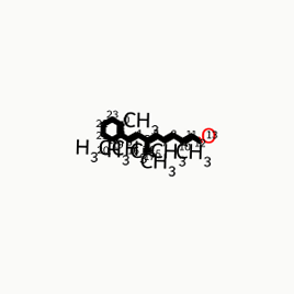 CC1=C(/C=C/C(=C/C=C/C(C)=C/C=O)C(C)(C)C)C(C)(C)CCC1